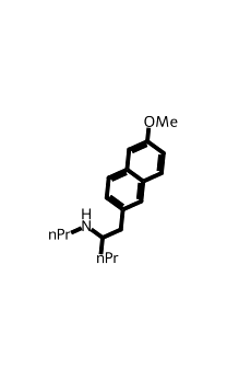 CCCNC(CCC)Cc1ccc2cc(OC)ccc2c1